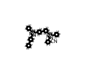 N#Cc1ccccc1-c1nc(-c2ccccc2)nc(-c2cccc(-c3ccc(-c4nc(-c5ccccc5)nc(-c5ccc(-c6ccccc6)cc5)n4)cc3)c2)n1